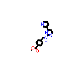 COC(=O)c1ccc(CNc2nccc(-c3cccnc3)n2)cc1